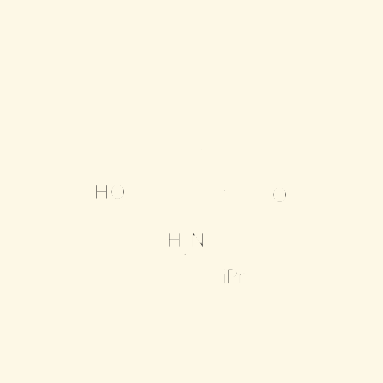 C=C(CO)C(N)=O.CC(C)C